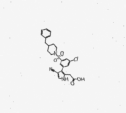 N#Cc1c[nH]c(CC(=O)O)c1-c1cc(Cl)cc(S(=O)(=O)N2CCC(Cc3ccccc3)CC2)c1